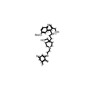 COc1ccc2ncc(CO)c([C@H](F)CCC3(CO)CCN(CCSc4cc(F)cc(F)c4F)CC3)c2c1